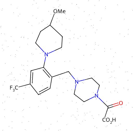 COC1CCN(c2cc(C(F)(F)F)ccc2CN2CCN(C(=O)C(=O)O)CC2)CC1